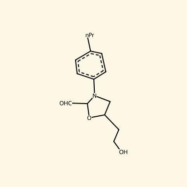 CCCc1ccc(N2CC(CCO)OC2C=O)cc1